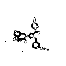 COc1cccc(CN2CC(N(Cc3cccc(OC)c3)C(=O)C3CC3)CC2C(=O)N2CCNCC2)c1